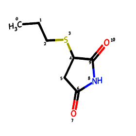 CCCSC1CC(=O)NC1=O